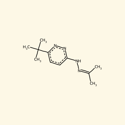 CC(C)=NNc1ccc(C(C)(C)C)nn1